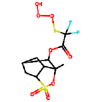 CC12OS(=O)(=O)C3CC(CC31)C2OC(=O)C(F)(F)SOOO